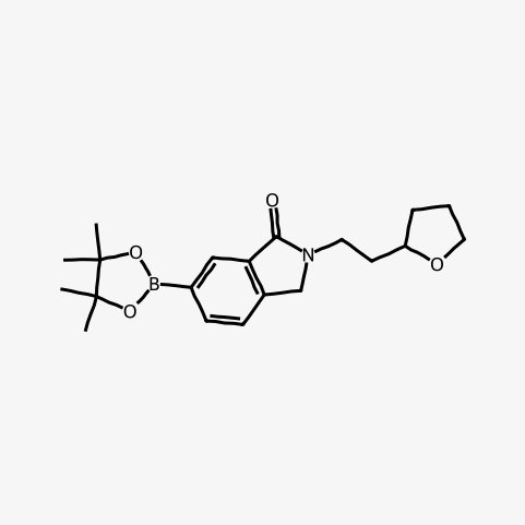 CC1(C)OB(c2ccc3c(c2)C(=O)N(CCC2CCCO2)C3)OC1(C)C